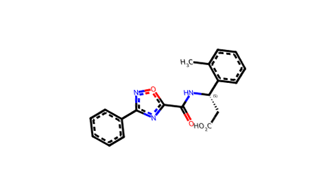 Cc1ccccc1[C@H](CC(=O)O)NC(=O)c1nc(-c2ccccc2)no1